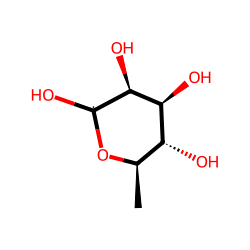 C[C@H]1O[C](O)[C@@H](O)[C@@H](O)[C@@H]1O